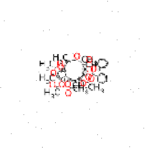 C=C1[C@H](OC(C)=O)C2[C@@H](OC(C)=O)[C@@H](C)C[C@]2(OC(C)=O)C(=O)[C@H](C)C2OC2C(C)(C)[C@H](OC(=O)c2ccccc2)[C@H](OC(=O)c2ccccc2)[C@H]1OC(C)=O